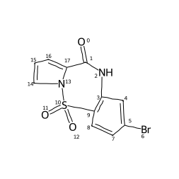 O=C1Nc2cc(Br)ccc2S(=O)(=O)n2cccc21